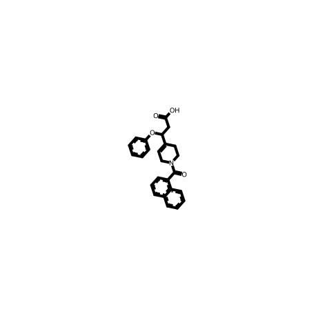 O=C(O)CC(Oc1ccccc1)C1=CCN(C(=O)c2cccc3ccccc23)CC1